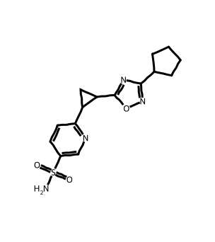 NS(=O)(=O)c1ccc(C2CC2c2nc(C3CCCC3)no2)nc1